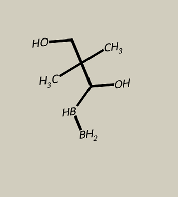 BBC(O)C(C)(C)CO